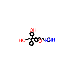 OCCC/C(=C(\c1ccc(O)cc1)c1ccc2oc(CCN3CCNCC3)cc2c1)c1ccccc1